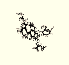 CN(C)CC1(COc2nc(N[C@@H]3CCCN(C)C3=O)c3c4c(c(-c5ncc(F)c6sc(NC(=O)OC(C)(C)C)c(C#N)c56)c(F)c3n2)COC4)CC1